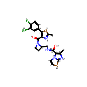 Cc1nc(C(=O)N2CCC2CNC(=O)c2c(C)nc3sccn23)c(-c2ccc(F)c(Br)c2)s1